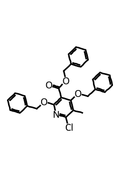 Cc1c(Cl)nc(OCc2ccccc2)c(C(=O)OCc2ccccc2)c1OCc1ccccc1